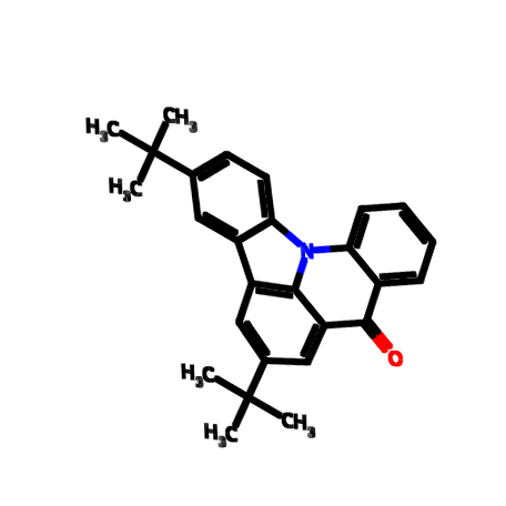 CC(C)(C)c1ccc2c(c1)c1cc(C(C)(C)C)cc3c(=O)c4ccccc4n2c31